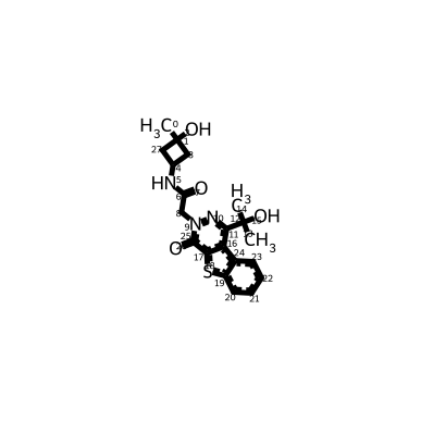 CC1(O)CC(NC(=O)Cn2nc(C(C)(C)O)c3c(sc4ccccc43)c2=O)C1